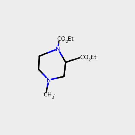 [CH2]N1CCN(C(=O)OCC)C(C(=O)OCC)C1